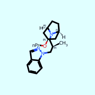 CCCO[C@H]1C[C@H]2CC[C@@H](C1)N2C[C@@H](C)Cn1ncc2ccccc21